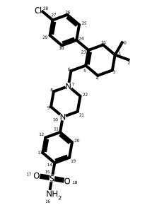 CC1(C)CCC(CN2CCN(c3ccc(S(N)(=O)=O)cc3)CC2)=C(c2ccc(Cl)cc2)C1